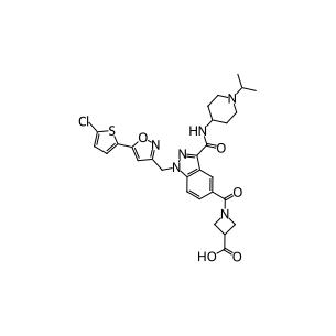 CC(C)N1CCC(NC(=O)c2nn(Cc3cc(-c4ccc(Cl)s4)on3)c3ccc(C(=O)N4CC(C(=O)O)C4)cc23)CC1